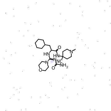 CN1CCC(C#N)(NC(=O)C(CC2CCCCC2)N/C(=N/C(N)=O)N2CCOCC2)CC1